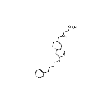 O=C(O)CCNCC1=Cc2ccc(OCCCCc3ccccc3)cc2CC1